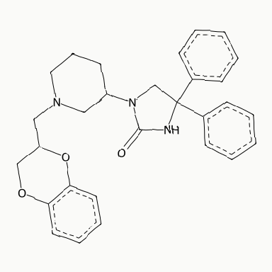 O=C1NC(c2ccccc2)(c2ccccc2)CN1C1CCCN(CC2COc3ccccc3O2)C1